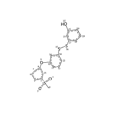 CS(=O)(=O)c1cccc(Oc2cccc(SSc3cccc(O)c3)c2)c1